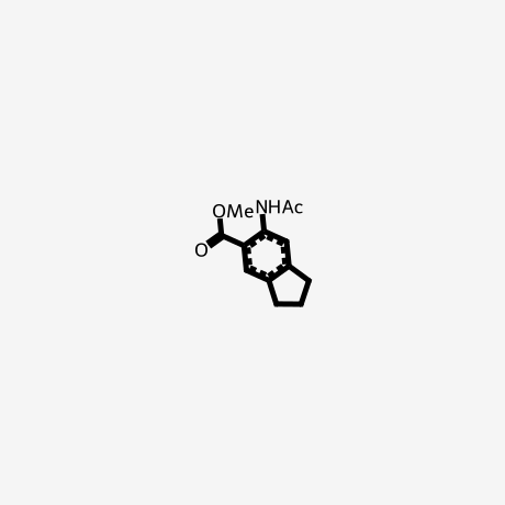 COC(=O)c1cc2c(cc1NC(C)=O)CCC2